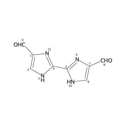 O=Cc1c[nH]c(-c2nc(C=O)c[nH]2)n1